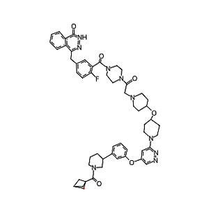 O=C(CN1CCC(OC2CCN(c3cc(Oc4cccc(C5CCCN(C(=O)C67CC(C6)C7)C5)c4)cnn3)CC2)CC1)N1CCN(C(=O)c2cc(Cc3n[nH]c(=O)c4ccccc34)ccc2F)CC1